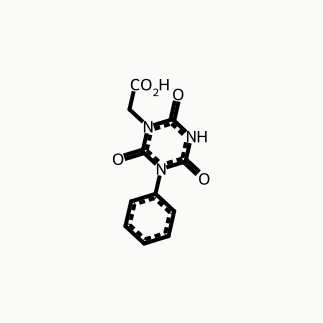 O=C(O)Cn1c(=O)[nH]c(=O)n(-c2ccccc2)c1=O